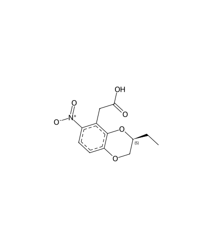 CC[C@H]1COc2ccc([N+](=O)[O-])c(CC(=O)O)c2O1